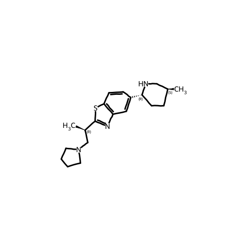 C[C@H]1CC[C@H](c2ccc3sc([C@H](C)CN4CCCC4)nc3c2)NC1